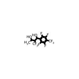 CC(O)C(C(O)c1c(F)c(F)c(C(F)(F)F)c(F)c1F)C(F)(F)F